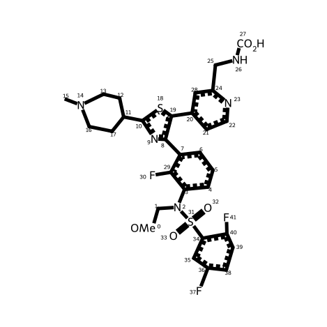 COCN(c1cccc(-c2nc(C3CCN(C)CC3)sc2-c2ccnc(CNC(=O)O)c2)c1F)S(=O)(=O)c1cc(F)ccc1F